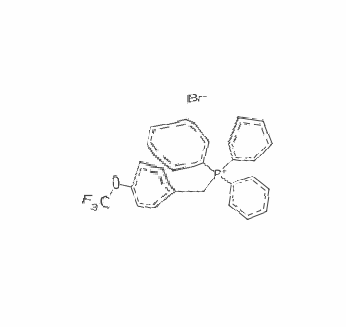 FC(F)(F)Oc1ccc(C[P+](c2ccccc2)(c2ccccc2)c2ccccc2)cc1.[Br-]